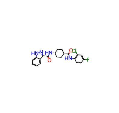 O=C(N[C@H]1CC[C@H](C(=O)Nc2ccc(F)cc2Cl)CC1)c1n[nH]c2ccccc12